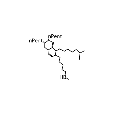 CBCCCCCC1C=CC2CC(CCCCC)C(CCCCC)C=C2C1CCCCCC(C)I